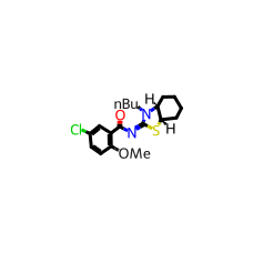 CCCCN1C(=NC(=O)c2cc(Cl)ccc2OC)S[C@H]2CCCC[C@@H]21